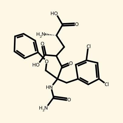 NC(=O)NC(COc1ccccc1)(Cc1cc(Cl)cc(Cl)c1)C(=O)C(C[C@H](N)C(=O)O)C(=O)O